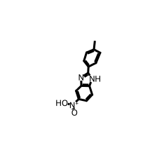 Cc1ccc(-c2nc3cc([N+](=O)O)ccc3[nH]2)cc1